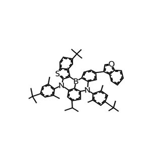 Cc1cc(C(C)(C)C)cc(C)c1N1c2cc(-c3coc4ccccc34)ccc2B2c3c1cc(C(C)C)cc3N(c1c(C)cc(C(C)(C)C)cc1C)c1sc3ccc(C(C)(C)C)cc3c12